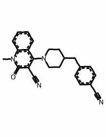 Cn1c(=O)c(C#N)c(N2CCC(Cc3ccc(C#N)cc3)CC2)c2ccccc21